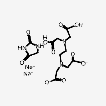 O=C([O-])CN(CCN(CC(=O)O)CC(=O)O)CC(=O)[O-].O=C1CNC(=O)N1.[Na+].[Na+]